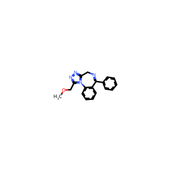 COCc1nnc2n1-c1ccccc1C(c1ccccc1)=NC2